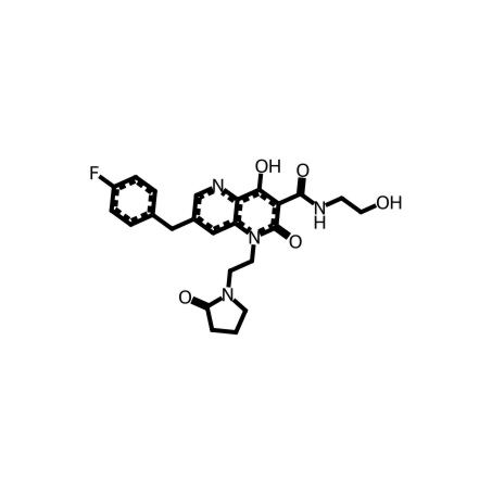 O=C(NCCO)c1c(O)c2ncc(Cc3ccc(F)cc3)cc2n(CCN2CCCC2=O)c1=O